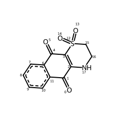 O=C1C2=C(C(=O)c3ccccc31)S(=O)(=O)CCN2